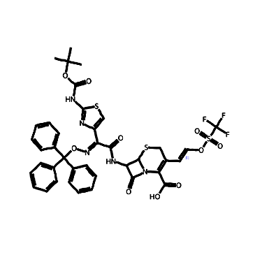 CC(C)(C)OC(=O)Nc1nc(C(=NOC(c2ccccc2)(c2ccccc2)c2ccccc2)C(=O)NC2C(=O)N3C(C(=O)O)=C(/C=C/OS(=O)(=O)C(F)(F)F)CSC23)cs1